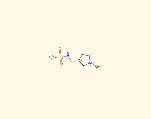 [CH2-][NH+]1CC[C@@H](CNS(C)(=O)=O)C1